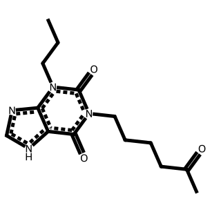 CCCn1c(=O)n(CCCCC(C)=O)c(=O)c2[nH]cnc21